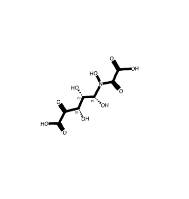 O=C(O)C(=O)[C@@H](O)[C@H](O)[C@@H](O)N(O)C(=O)C(=O)O